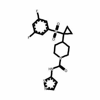 O=C(Nc1ccns1)N1CCC(C2(S(=O)(=O)c3cc(F)cc(F)c3)CC2)CC1